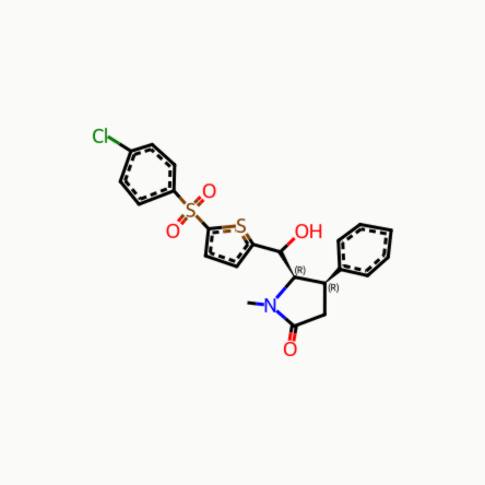 CN1C(=O)C[C@H](c2ccccc2)[C@@H]1C(O)c1ccc(S(=O)(=O)c2ccc(Cl)cc2)s1